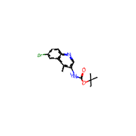 Cc1c(NC(=O)OC(C)(C)C)cnc2ccc(Br)cc12